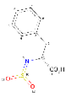 O=C(O)[C@@H](Cc1ccccc1)N=S(=O)=O